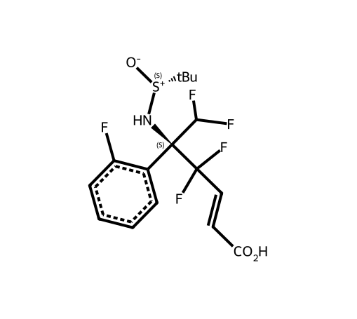 CC(C)(C)[S@@+]([O-])N[C@@](c1ccccc1F)(C(F)F)C(F)(F)C=CC(=O)O